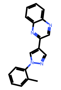 Cc1ccccc1-n1cc(-c2cnc3ccccc3n2)cn1